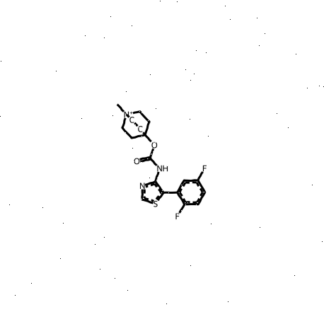 C[N+]12CCC(OC(=O)Nc3ncsc3-c3cc(F)ccc3F)(CC1)CC2